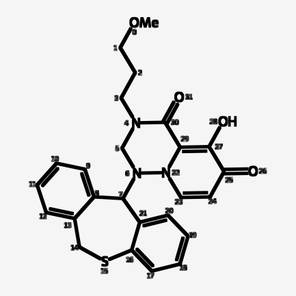 COCCCN1CN(C2c3ccccc3CSc3ccccc32)n2ccc(=O)c(O)c2C1=O